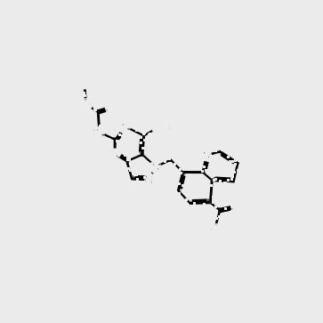 COC(=O)Nc1nc(O)c2c(cnn2Cc2ccc(C(=O)O)c3cccnc23)n1